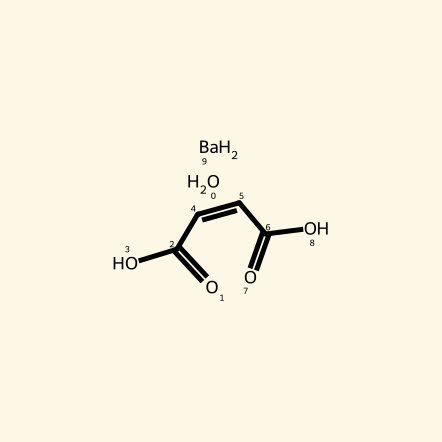 O.O=C(O)/C=C\C(=O)O.[BaH2]